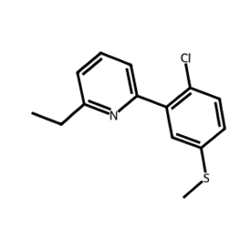 CCc1cccc(-c2cc(SC)ccc2Cl)n1